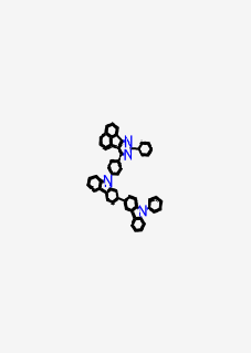 c1ccc(-c2nc(-c3ccc(-n4c5ccccc5c5ccc(-c6ccc7c(c6)c6ccccc6n7-c6ccccc6)cc54)cc3)c3c(n2)-c2cccc4cccc-3c24)cc1